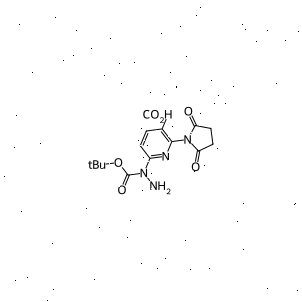 CC(C)(C)OC(=O)N(N)c1ccc(C(=O)O)c(N2C(=O)CCC2=O)n1